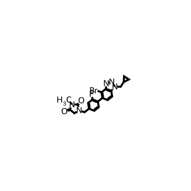 CN1C(=O)CN(Cc2ccc(-c3ccc4c(nnn4CC4CC4)c3Br)c(F)c2)C1=O